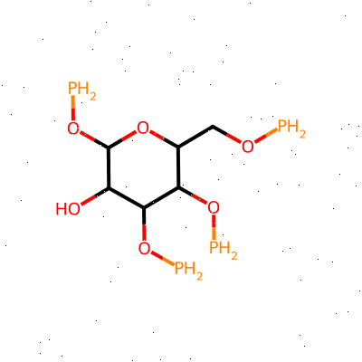 OC1C(OP)OC(COP)C(OP)C1OP